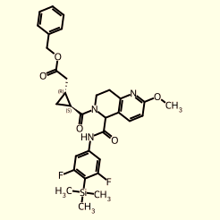 COc1ccc2c(n1)CCN(C(=O)[C@H]1C[C@@H]1CC(=O)OCc1ccccc1)C2C(=O)Nc1cc(F)c([Si](C)(C)C)c(F)c1